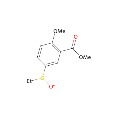 CC[S+]([O-])c1ccc(OC)c(C(=O)OC)c1